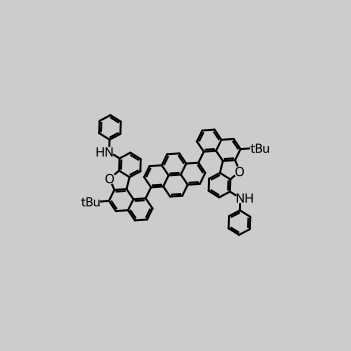 CC(C)(C)c1cc2cccc(-c3ccc4ccc5c(-c6cccc7cc(C(C)(C)C)c8oc9c(Nc%10ccccc%10)cccc9c8c67)ccc6ccc3c4c65)c2c2c1oc1c(Nc3ccccc3)cccc12